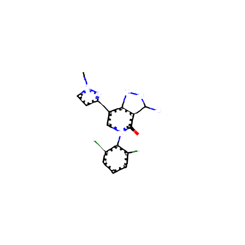 Cn1ccc(-c2cn(-c3c(Cl)cccc3Cl)c(=O)c3c2NNC3N)n1